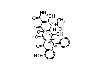 CN(C)[C@@H]1C(O)=C(C(N)=O)C(=O)[C@@]2(O)C(O)=C3C(=O)c4c(O)cccc4[C@H](c4ccccc4)[C@H]3[C@H](O)[C@@H]12